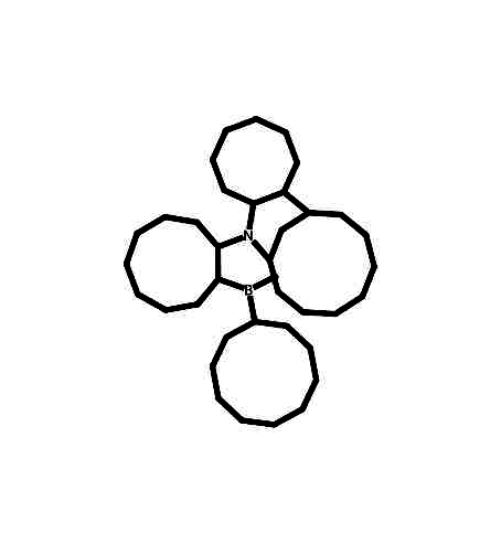 CB(C1CCCCCCCCC1)C1CCCCCCCC1N1C2CCCCCCCC(C2)C2CCCCCCC21